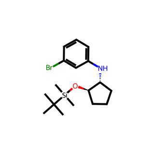 CC(C)(C)[Si](C)(C)O[C@@H]1CCC[C@H]1Nc1cccc(Br)c1